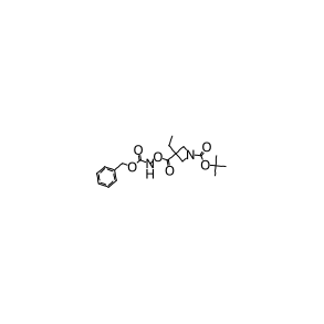 CCC1(C(=O)ONC(=O)OCc2ccccc2)CN(C(=O)OC(C)(C)C)C1